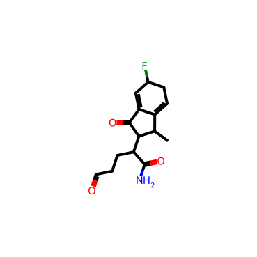 CC1C2=CCC(F)C=C2C(=O)C1C(CCC=O)C(N)=O